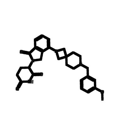 COc1cccc(CN2CCC3(CC2)CN(c2cccc4c2CN(C2CCC(=O)NC2=O)C4=O)C3)c1